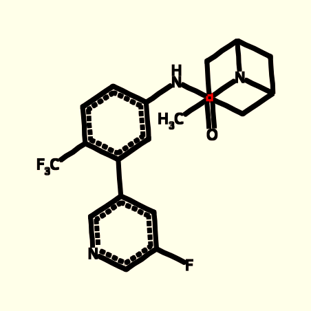 CC1CC2CC(C1)N2C(=O)Nc1ccc(C(F)(F)F)c(-c2cncc(F)c2)c1